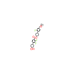 CCOCc1ccc(C2CCC(OC(=O)c3ccc(C4CCC(O)CC4)c(F)c3F)CC2)c(F)c1